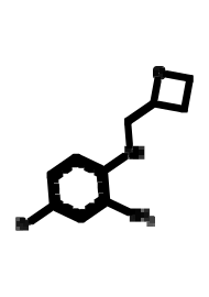 Nc1cc(Br)ccc1NCC1CCO1